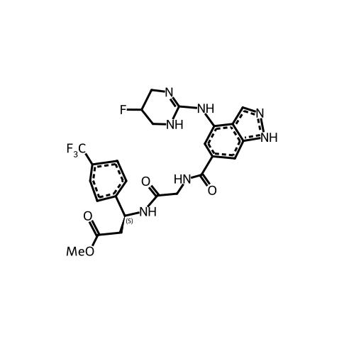 COC(=O)C[C@H](NC(=O)CNC(=O)c1cc(NC2=NCC(F)CN2)c2cn[nH]c2c1)c1ccc(C(F)(F)F)cc1